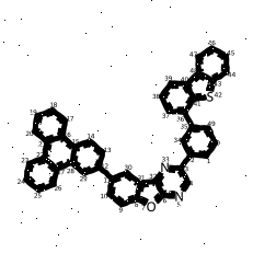 c1cc(-c2cnc3oc4ccc(-c5ccc6c7ccccc7c7ccccc7c6c5)cc4c3n2)cc(-c2cccc3c2sc2ccccc23)c1